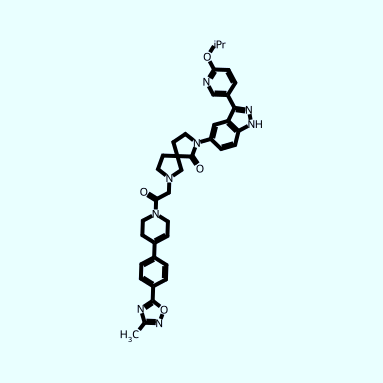 Cc1noc(-c2ccc(C3=CCN(C(=O)CN4CCC5(CCN(c6ccc7[nH]nc(-c8ccc(OC(C)C)nc8)c7c6)C5=O)C4)CC3)cc2)n1